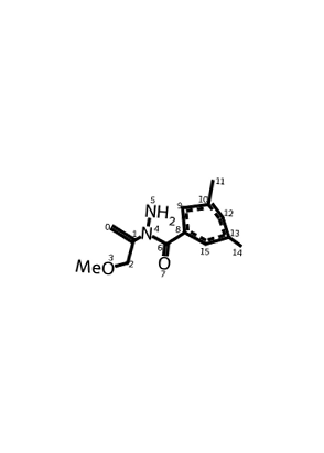 C=C(COC)N(N)C(=O)c1cc(C)cc(C)c1